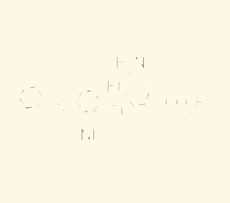 CCOC(=O)Cc1ccc(C(CC)(CC)c2ccc(OCc3ccccc3)c(CN)c2)cc1CN